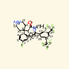 Cc1cc(F)ccc1C1(CC(=O)N(C)[C@H](C)c2cc(C(F)(F)F)cc(C(F)(F)F)c2)CCNCC1